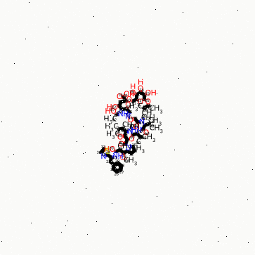 CCC(C)C(C(CC(=O)N1CCCC1C(OC)C(C)C(O)NC(Cc1ccccc1)c1nccs1)OC)N(C)C(=O)C(NC(=O)C(C(C)C)N(C)C(=O)CO/N=C/C1OC(OCC2OC(OC(C)C(C)C)C(O)C(O)C2O)(C(=O)O)CC(O)C1NC(C)O)C(C)C